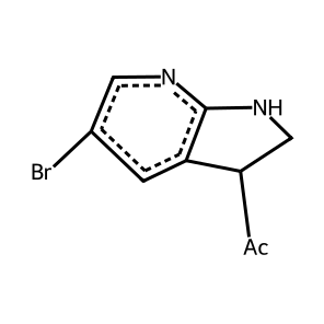 CC(=O)C1CNc2ncc(Br)cc21